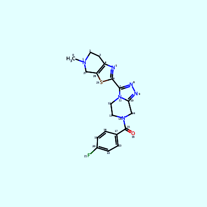 CN1CCc2nc(-c3nnc4n3CCN(C(=O)c3ccc(F)cc3)C4)sc2C1